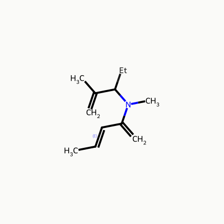 C=C(C)C(CC)N(C)C(=C)/C=C/C